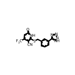 N#Cc1c(C(F)(F)F)cc(=O)[nH]c1SCc1cccc(-c2nnn[nH]2)c1